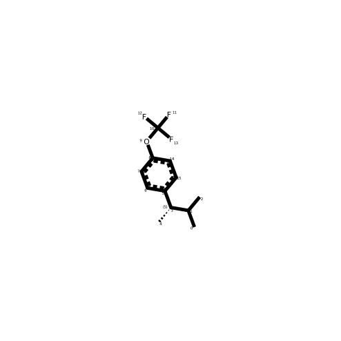 CC(C)[C@H](C)c1ccc(OC(F)(F)F)cc1